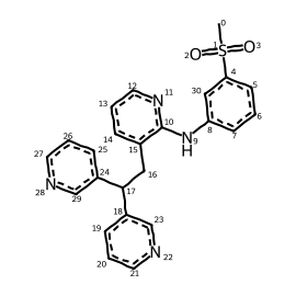 CS(=O)(=O)c1cccc(Nc2ncccc2CC(c2cccnc2)c2cccnc2)c1